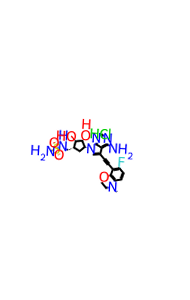 CN1CCOc2c1ccc(F)c2C#Cc1cn([C@@H]2C[C@H](CNS(N)(=O)=O)[C@@H](O)[C@H]2O)c2ncnc(N)c12.Cl